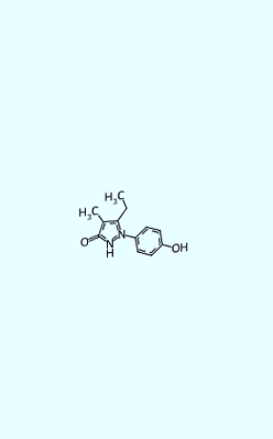 CCc1c(C)c(=O)[nH]n1-c1ccc(O)cc1